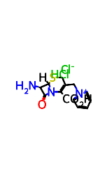 Cl.N[C@@H]1C(=O)N2C(C(=O)O)=C(C[n+]3ccccc3)CS[C@@H]12.[Cl-]